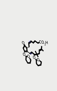 CC(C)=CCC(C)(C)[C@H](/C=C/[C@H]1[C@H](OC2CCCCO2)CC(=O)[C@@H]1C/C=C\CCCC(=O)O)OC1CCCCO1